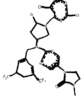 CCC1CC(N(CC2=CC(C(F)(F)F)CC(C(F)(F)F)=C2)c2ncc(N3CCN(C)C3=O)cn2)CN1c1nc(Cl)ncc1Cl